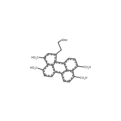 CCCCCCCCCCCCc1cc(C(=O)O)c2c(C(=O)O)ccc3c4ccc(C(=O)O)c5c(C(=O)O)ccc(c1c23)c54